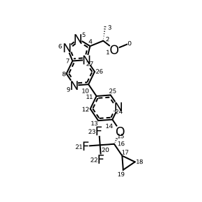 CO[C@@H](C)c1nnc2cnc(-c3ccc(O[C@H](C4CC4)C(F)(F)F)nc3)cn12